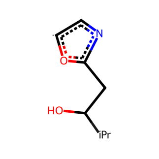 CC(C)C(O)Cc1nc[c]o1